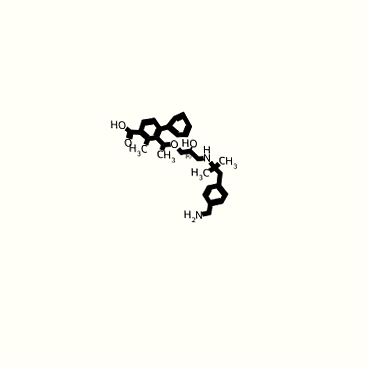 Cc1c(C(=O)O)ccc(-c2ccccc2)c1C(C)OC[C@H](O)CNC(C)(C)Cc1ccc(CN)cc1